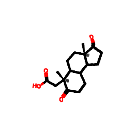 C[C@]1(CC(=O)O)C(=O)CCC2C1CC[C@]1(C)C(=O)CCC21